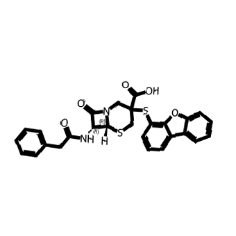 O=C(Cc1ccccc1)N[C@@H]1C(=O)N2CC(Sc3cccc4c3oc3ccccc34)(C(=O)O)CS[C@H]12